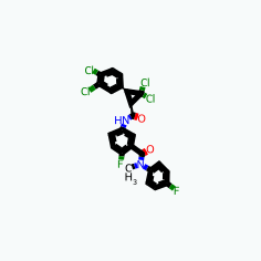 CN(C(=O)c1cc(NC(=O)[C@H]2[C@H](c3ccc(Cl)c(Cl)c3)C2(Cl)Cl)ccc1F)c1ccc(F)cc1